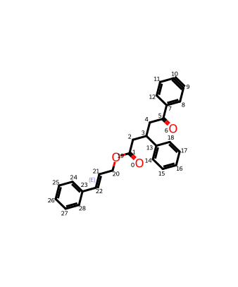 O=C(CC(CC(=O)c1cc#ccc1)c1ccccc1)OC/C=C/c1ccccc1